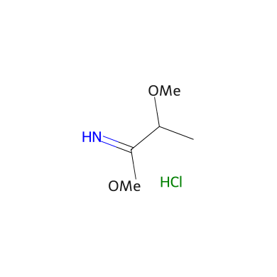 COC(=N)C(C)OC.Cl